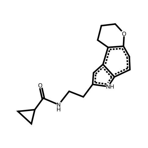 O=C(NCCc1cc2c3c(ccc2[nH]1)OCCC3)C1CC1